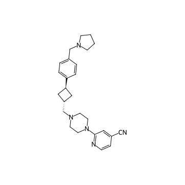 N#Cc1ccnc(N2CCN(C[C@H]3C[C@H](c4ccc(CN5CCCC5)cc4)C3)CC2)c1